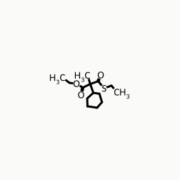 CCOC(=O)C(C)(C(=O)SCC)C1CCCCC1